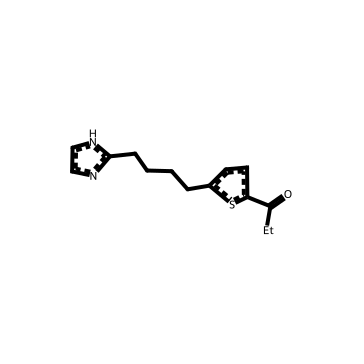 CCC(=O)c1ccc(CCCCc2ncc[nH]2)s1